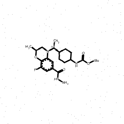 CC1CN([C@@H](C)C2CCC(NC(=O)OC(C)(C)C)CC2)c2cc(C(=O)NN)cc(F)c2O1